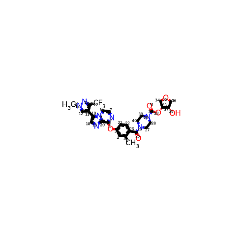 Cc1cc(Oc2nccn3c(-c4cn(C)nc4C(F)(F)F)cnc23)ccc1C(=O)N1CCN(C(=O)O[C@H]2COC[C@@H]2O)CC1